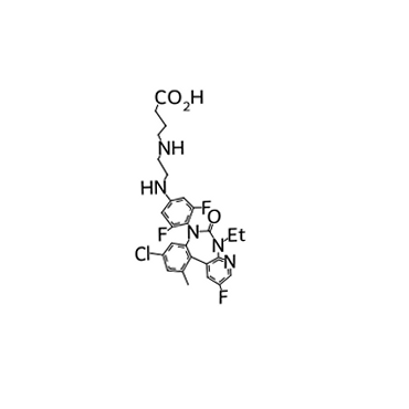 CCN1C(=O)N(c2c(F)cc(NCCNCCCC(=O)O)cc2F)c2cc(Cl)cc(C)c2-c2cc(F)cnc21